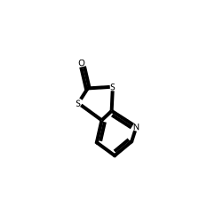 O=c1sc2cccnc2s1